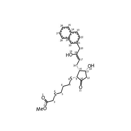 COC(=O)CSCCCS[C@H]1C(=O)C[C@@H](O)[C@H]1C/C=C(\O)Cc1ccc2ccccc2c1